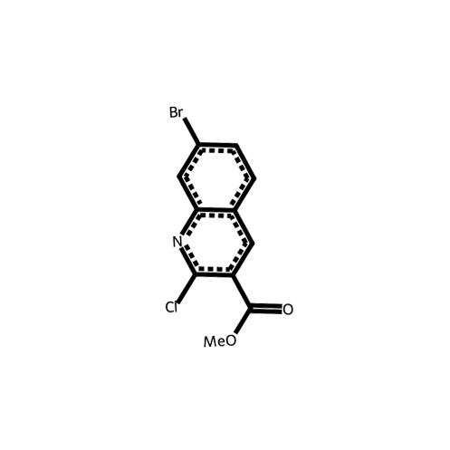 COC(=O)c1cc2ccc(Br)cc2nc1Cl